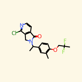 Cc1cc(C(C)N2Cc3c(ccnc3Cl)C2=O)ccc1OCC(C)(F)F